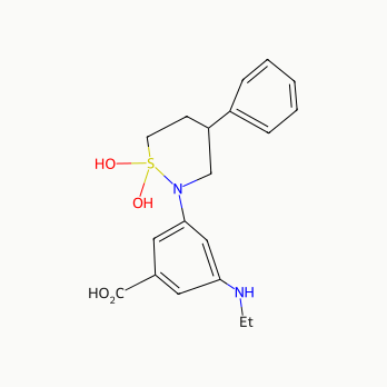 CCNc1cc(C(=O)O)cc(N2CC(c3ccccc3)CCS2(O)O)c1